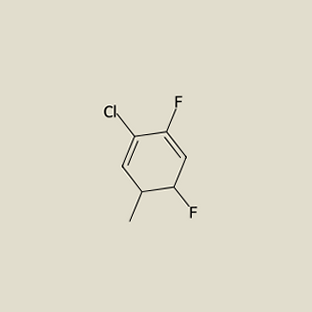 CC1C=C(Cl)C(F)=CC1F